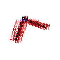 O=C(O)c1ccccc1.O=C1CCC(=O)N1.OB(O)O.OB(O)O.OB(O)O.OB(O)O.OB(O)O.OB(O)O.OB(O)O.OB(O)O.OB(O)O.OB(O)O.OB(O)O.OB(O)O